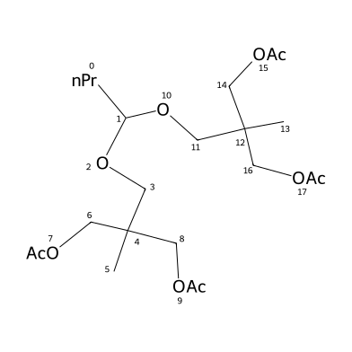 CCCC(OCC(C)(COC(C)=O)COC(C)=O)OCC(C)(COC(C)=O)COC(C)=O